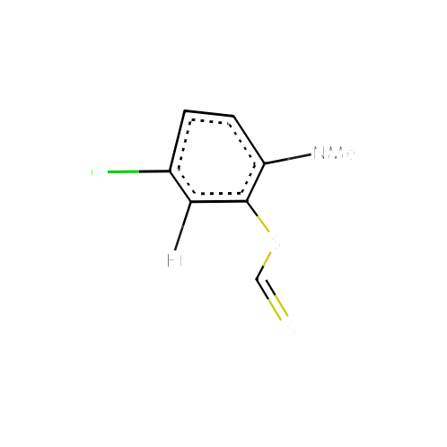 CCc1c(Cl)ccc(NC)c1SC=S